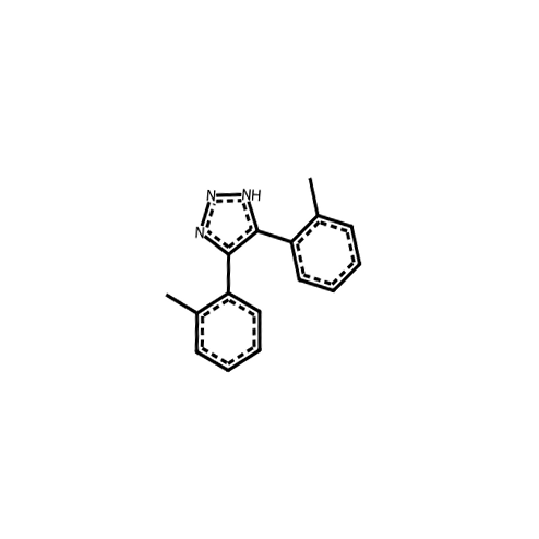 Cc1ccccc1-c1nn[nH]c1-c1ccccc1C